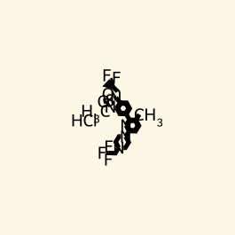 Cc1ccc(N2CCN(CC(F)(F)F)CC2)nc1-c1ccc2c(c1)N(C)S(=O)(=O)N2CC1CC1(F)F.Cl